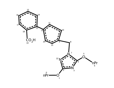 CCCOc1nc(OCCC)n(Cc2ccc(-c3ccccc3C(=O)O)cc2)n1